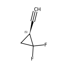 C#C[C@@H]1CC1(F)F